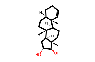 C[C@]12C=CCC[C@@H]1CC[C@@H]1[C@@H]2CC[C@]2(C)[C@@H](O)[C@H](O)C[C@@H]12